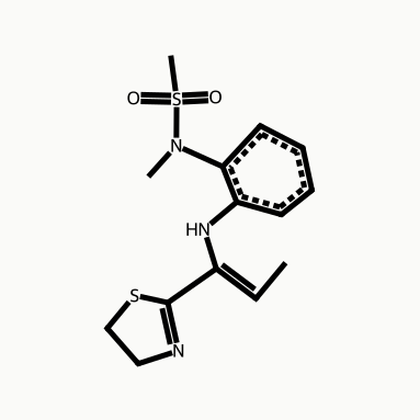 C/C=C(\Nc1ccccc1N(C)S(C)(=O)=O)C1=NCCS1